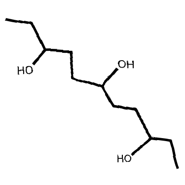 CCC(O)CCC(O)CCC(O)CC